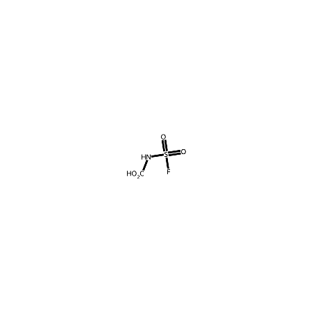 O=C(O)NS(=O)(=O)F